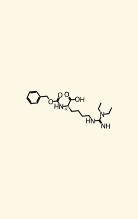 CCN(CC)C(=N)NCCCC[C@@H](NC(=O)OCc1ccccc1)C(=O)O